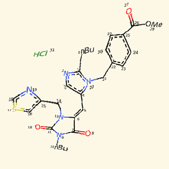 CCCCc1ncc(C=C2C(=O)N(CCCC)C(=O)N2Cc2cscn2)n1Cc1ccc(C(=O)OC)cc1.Cl